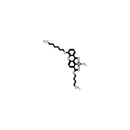 CCCCCCCOc1cccc2c(=O)c3c(S(C)(=O)=O)c(C(=O)OCCCCC)ccc3oc12